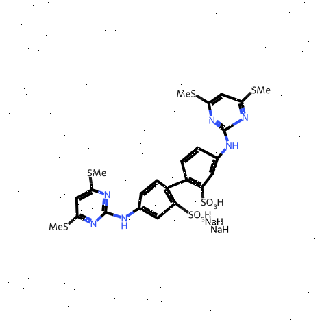 CSc1cc(SC)nc(Nc2ccc(-c3ccc(Nc4nc(SC)cc(SC)n4)cc3S(=O)(=O)O)c(S(=O)(=O)O)c2)n1.[NaH].[NaH]